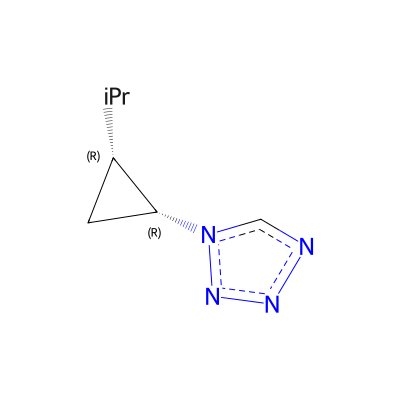 CC(C)[C@H]1C[C@H]1n1cnnn1